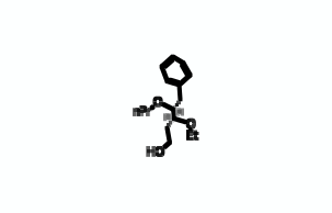 CCCO[C@H](Cc1ccccc1)[C@@H](CCO)OCC